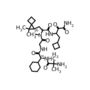 CC(C)(N)C(=O)N[C@H](C(=O)NCC(=O)N1C[C@]2(C[C@H]1C(=O)NC(CC1CCC1)C(=O)C(N)=O)C(C)(C)C21CCC1)C1CCCCC1